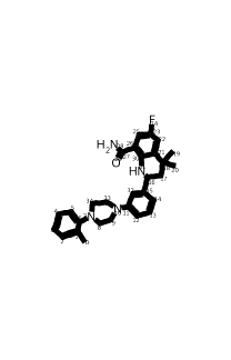 Cc1ccccc1N1CCN(c2cccc(C3CC(C)(C)c4cc(F)cc(C(N)=O)c4N3)c2)CC1